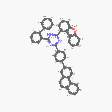 c1ccc(-c2ccccc2C2=NC(c3ccc(-c4ccc5c(ccc6ccccc65)c4)cc3)=NC(c3cccc4oc5ccccc5c34)N2)cc1